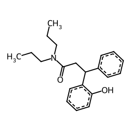 CCCN(CCC)C(=O)CC(c1ccccc1)c1ccccc1O